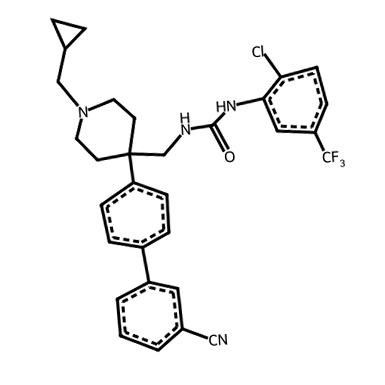 N#Cc1cccc(-c2ccc(C3(CNC(=O)Nc4cc(C(F)(F)F)ccc4Cl)CCN(CC4CC4)CC3)cc2)c1